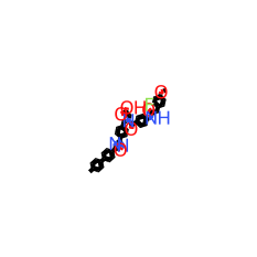 COc1ccc(CC(=O)Nc2ccc(C(=O)N(CC(=O)O)Cc3ccc(-c4noc(-c5ccc(-c6ccc(C)cc6)cc5)n4)cc3)cc2)c(F)c1